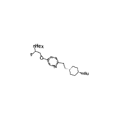 CCCCCCC(F)COc1ccc(CC[C@H]2CC[C@H](CCCC)CC2)nc1